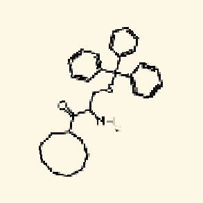 NC(CSC(c1ccccc1)(c1ccccc1)c1ccccc1)C(=O)C1CCCCCCCC1